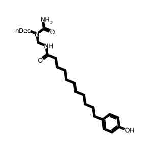 CCCCCCCCCCN(CNC(=O)CCCCCCCCCCc1ccc(O)cc1)C(N)=O